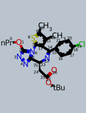 CCCOc1nnc2n1-c1sc(C)c(C)c1C(c1ccc(Cl)cc1)=N[C@H]2CC(=O)OC(C)(C)C